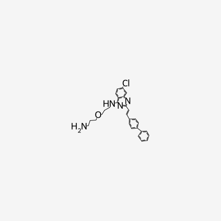 NCCCOCCCNc1nc(C=Cc2ccc(-c3ccccc3)cc2)nc2cc(Cl)ccc12